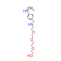 CNc1ccc(CNCCOCCOCCOCCO)cc1